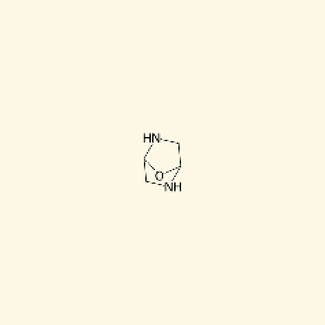 C1NC2CNC1O2